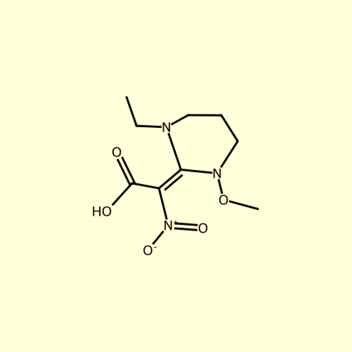 CCN1CCCN(OC)C1=C(C(=O)O)[N+](=O)[O-]